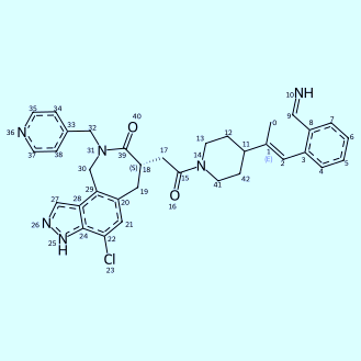 C/C(=C\c1ccccc1C=N)C1CCN(C(=O)C[C@@H]2Cc3cc(Cl)c4[nH]ncc4c3CN(Cc3ccncc3)C2=O)CC1